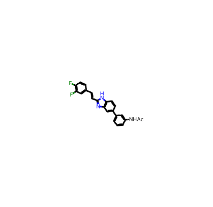 CC(=O)Nc1cccc(-c2ccc3[nH]c(C=Cc4ccc(F)c(F)c4)nc3c2)c1